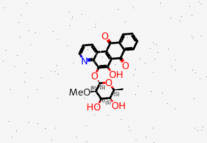 CO[C@H]1[C@H](Oc2c(O)c3c(c4cccnc24)C(=O)c2ccccc2C3=O)O[C@@H](C)[C@@H](O)[C@H]1O